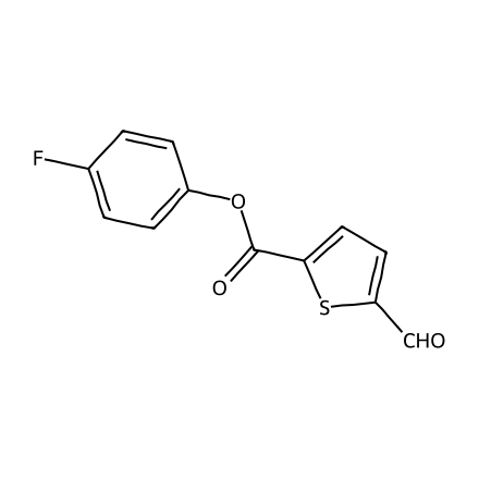 O=Cc1ccc(C(=O)Oc2ccc(F)cc2)s1